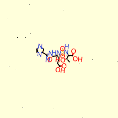 CC(O)[C@H](NS(=O)(=O)N[C@@H](CCC(=O)O)c1nc(-c2cnccn2)no1)C(=O)O